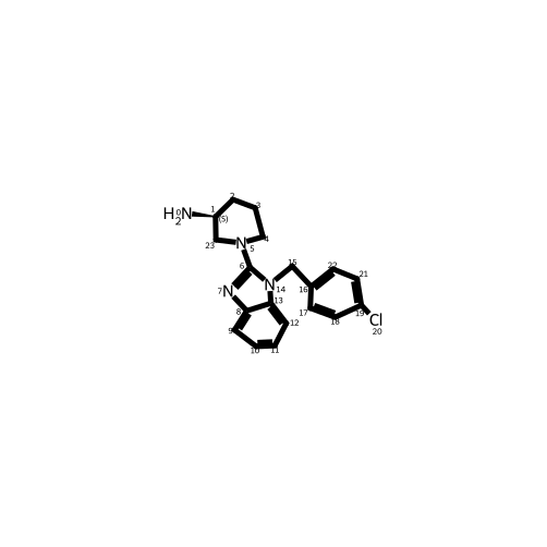 N[C@H]1CCCN(c2nc3ccccc3n2Cc2ccc(Cl)cc2)C1